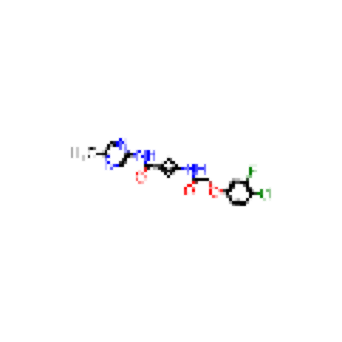 Cc1cnc(NC(=O)C23CC(NC(=O)COc4ccc(Cl)c(F)c4)(C2)C3)cn1